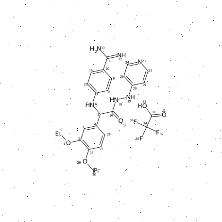 CCOc1cc(C(Nc2ccc(C(=N)N)cc2)C(=O)NNc2ccncc2)ccc1OC(C)C.O=C(O)C(F)(F)F